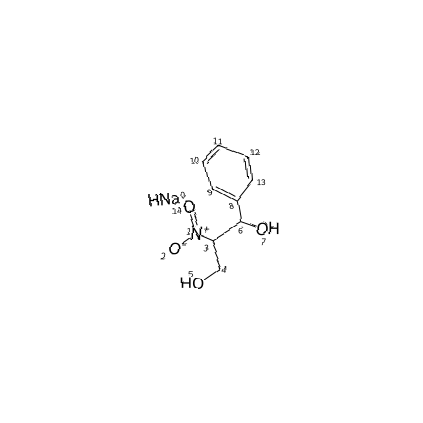 O=[N+]([O-])C(CO)C(O)c1ccccc1.[NaH]